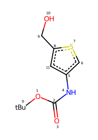 CC(C)(C)OC(=O)Nc1csc(CO)c1